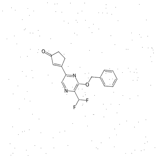 O=C1C=C(c2cnc(C(F)F)c(OCc3ccccc3)n2)CC1